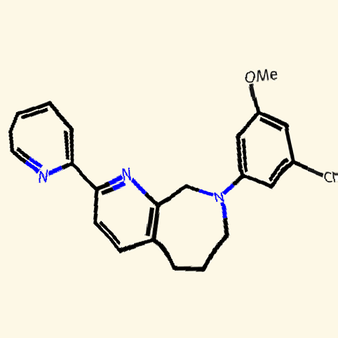 COc1cc(C#N)cc(N2CCCc3ccc(-c4ccccn4)nc3C2)c1